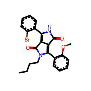 CCCCN1C(=O)C2=C(c3ccccc3Br)NC(=O)C2=C1c1ccccc1OC